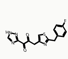 O=C(Cc1csc(Cc2ccc(F)cc2)n1)C(=O)c1nc[nH]n1